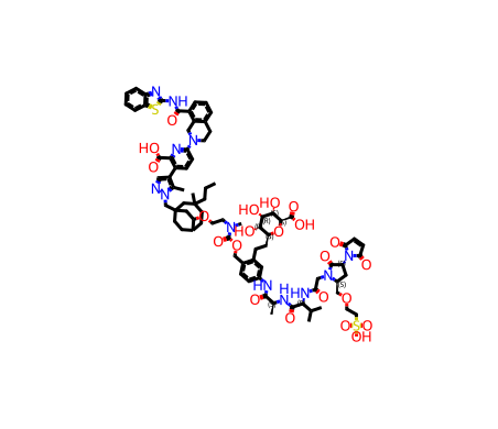 CCCC1(C)CCC2CCC(Cn3ncc(-c4ccc(N5CCc6cccc(C(=O)Nc7nc8ccccc8s7)c6C5)nc4C(=O)O)c3C)(CC2OCCN(C)C(=O)OCc2ccc(NC(=O)[C@H](C)NC(=O)[C@@H](NC(=O)CN3C(=O)[C@@H](N4C(=O)C=CC4=O)C[C@H]3COCCS(=O)(=O)O)C(C)C)cc2CC[C@@H]2O[C@H](C(=O)O)[C@@H](O)[C@H](O)[C@H]2O)C1